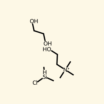 C[N+](C)(C)CCO.C[SiH](C)Cl.OCCO